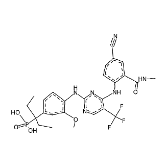 CCC(CC)(c1ccc(Nc2ncc(C(F)(F)F)c(Nc3ccc(C#N)cc3C(=O)NC)n2)c(OC)c1)P(=O)(O)O